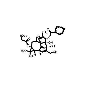 CCCCCCCCCCCC(=O)O[C@@]12CC(C)C34C=C(C)[C@H](OC(=O)c5ccccc5)[C@@]3(O)[C@H](O)C(CO)=C[C@H](C4=O)[C@@H]1C2(C)C